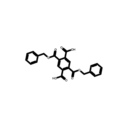 O=C(O)c1cc(C(=O)OCc2ccccc2)c(C(=O)O)cc1C(=O)OCc1ccccc1